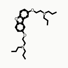 CCCN(CCC)CCOc1ccc2oc3ccc(OCCN(CCC)CCC)cc3c2c1